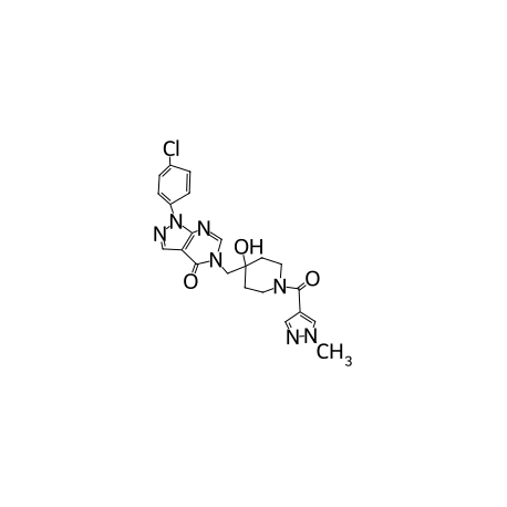 Cn1cc(C(=O)N2CCC(O)(Cn3cnc4c(cnn4-c4ccc(Cl)cc4)c3=O)CC2)cn1